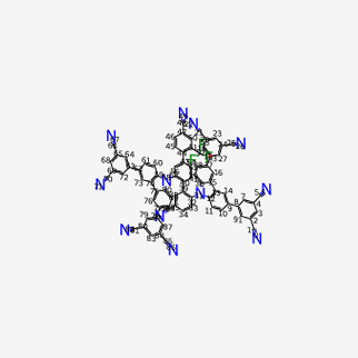 N#Cc1cc(C#N)cc(-c2ccc3c(c2)c2cc(-c4cc(C#N)cc(C#N)c4)ccc2n3-c2ccc(C#N)cc2-c2ccc(-c3ccc(C#N)cc3C(F)(F)F)cc2-n2c3ccc(-c4cc(C#N)cc(C#N)c4)cc3c3cc(-c4cc(C#N)cc(C#N)c4)ccc32)c1